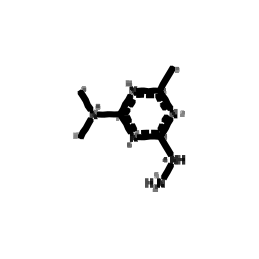 Cc1nc(NN)nc(N(C)C)n1